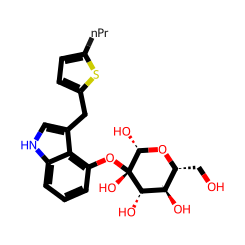 CCCc1ccc(Cc2c[nH]c3cccc(O[C@]4(O)[C@H](O)O[C@H](CO)[C@@H](O)[C@@H]4O)c23)s1